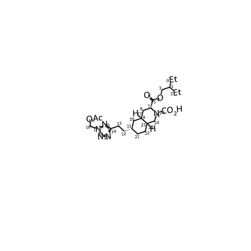 CCC(CC)COC(=O)[C@@H]1C[C@H]2C[C@@H](CCc3nnn(COC(C)=O)n3)CC[C@H]2CN1C(=O)O